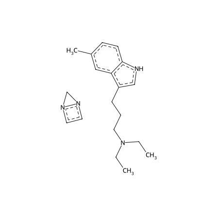 CCN(CC)CCCc1c[nH]c2ccc(C)cc12.c1cn2n1C2